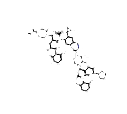 C=CC(=O)N1CCN(c2nc(=O)n(-c3ccc(/C=C\C(=O)N4CCN(c5nc(=O)n(-c6c(CC)cccc6CC)c6nc(C7CCCC7)c(Cl)cc56)[C@@H](C)C4)cc3C3(C)CC3)c3nc(-c4c(O)cccc4F)c(Cl)cc23)[C@@H](C)C1